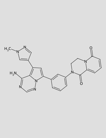 Cn1cc(-c2cc(-c3cccc(N4CCn5c(cccc5=O)C4=O)c3)n3ncnc(N)c23)cn1